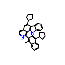 Cc1c2ccccc2c(C2CCCC2)c2c1c1c3c(cc[n+]1C)cc(C1CCCC1)c1c4ccccc4n2c13